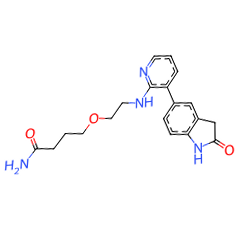 NC(=O)CCCOCCNc1ncccc1-c1ccc2c(c1)CC(=O)N2